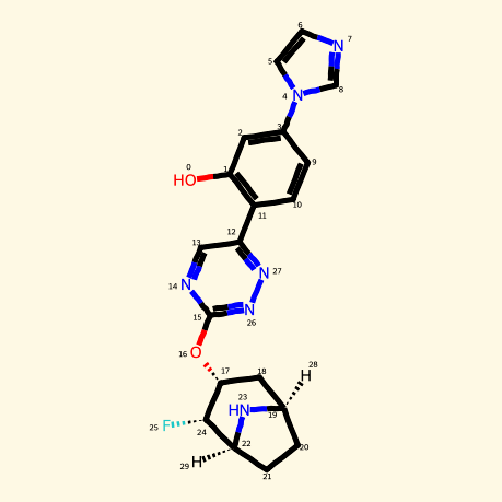 Oc1cc(-n2ccnc2)ccc1-c1cnc(O[C@@H]2C[C@H]3CC[C@H](N3)[C@@H]2F)nn1